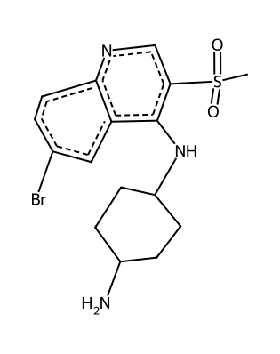 CS(=O)(=O)c1cnc2ccc(Br)cc2c1NC1CCC(N)CC1